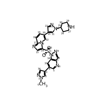 Cn1cc(-c2cnc3cnn(S(=O)(=O)c4cnc5ccc(-c6cnn(C7CCNCC7)c6)cn45)c3c2)cn1